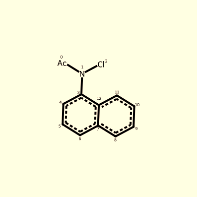 CC(=O)N(Cl)c1cccc2ccccc12